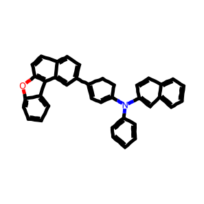 C1=C(c2ccc3ccc4oc5ccccc5c4c3c2)CCC(N(c2ccccc2)c2ccc3ccccc3c2)=C1